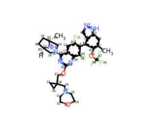 Cc1cc2[nH]ncc2c(-c2c(F)cc3c(N4C[C@H]5CC[C@@](C)(C4)N5)nc(OCC4(CN5CCOCC5)CC4)nc3c2F)c1OC(F)(F)F